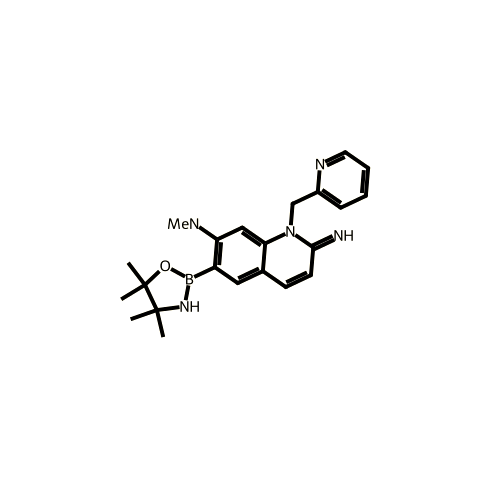 CNc1cc2c(ccc(=N)n2Cc2ccccn2)cc1B1NC(C)(C)C(C)(C)O1